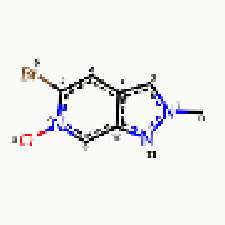 Cn1cc2cc(Br)[n+]([O-])cc2n1